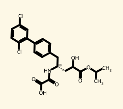 CC(C)OC(=O)C(O)C[C@@H](Cc1ccc(-c2cc(Cl)ccc2Cl)cc1)NC(=O)C(=O)O